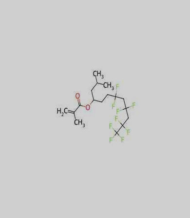 C=C(C)C(=O)OC(CCC(F)(F)CC(F)(F)CC(F)(F)C(F)(F)F)CC(C)C